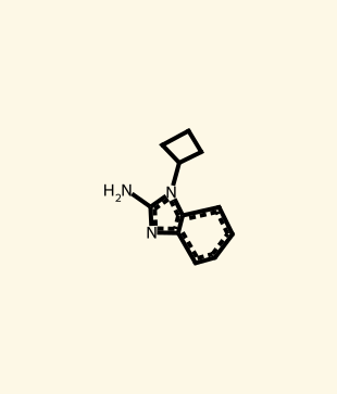 Nc1nc2ccccc2n1C1CCC1